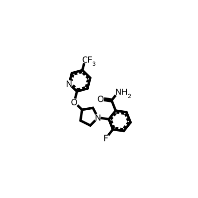 NC(=O)c1cccc(F)c1N1CCC(Oc2ccc(C(F)(F)F)cn2)C1